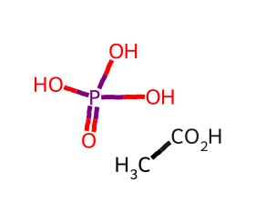 CC(=O)O.O=P(O)(O)O